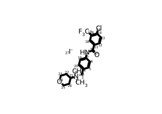 C[N+](C)(Cc1ccc(NC(=O)c2ccc(Cl)c(C(F)(F)F)c2)cc1)C1CCOCC1.[I-]